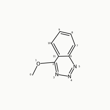 COc1nnnc2ccccc12